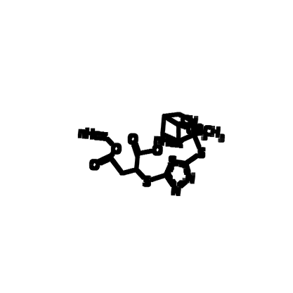 CCCCCCOC(=O)CC(Sc1nnc(SC2(C)CCC3CC2C3(C)C)s1)C(=O)OCCCCCC